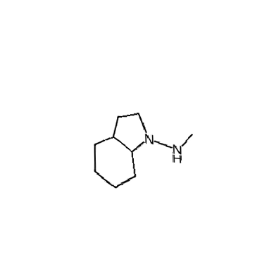 CNN1CCC2CCCCC21